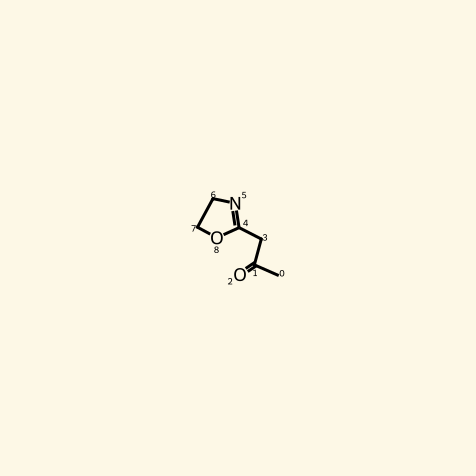 CC(=O)CC1=NCCO1